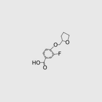 O=C(O)c1ccc(OCC2CCCO2)c(F)c1